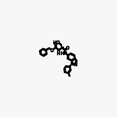 Cc1cccc(-n2ncc3ccc(NC(=O)[C@H](CO)NC(=O)OCc4ccccc4)cc32)c1